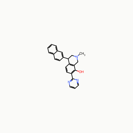 CN1Cc2c(ccc(-c3ncccn3)c2O)C(c2ccc3ccccc3c2)C1